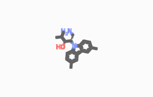 Cc1ccc2c(c1)c1cc(C)ccc1n2[C@@H](CN)[C@@H](O)C(C)C